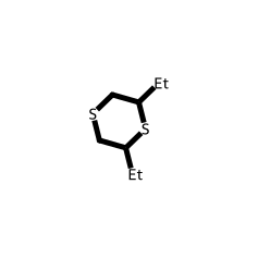 CCC1CSCC(CC)S1